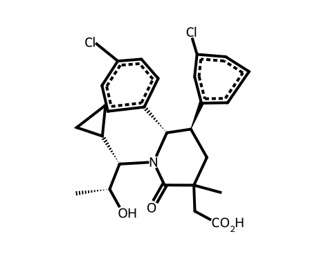 C[C@@H](O)[C@H](C1CC1)N1C(=O)C(C)(CC(=O)O)C[C@H](c2cccc(Cl)c2)[C@H]1c1ccc(Cl)cc1